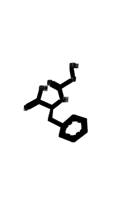 CC(C)(C)OC(=O)N[C@@H](Cc1ccccc1)C(O)=S